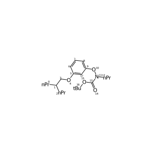 CCCC(CCC)COc1cccc(ON(CCC)C(=O)OC(C)(C)C)c1